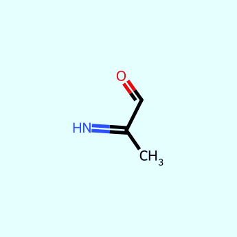 CC(=N)C=O